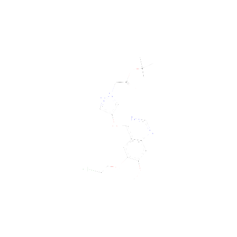 COc1cc2ncnc(Oc3cnn(CC(=O)OC(C)(C)C)c3)c2cc1OCCCl